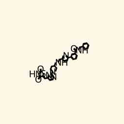 O=C1NC(=O)C(=Cc2ccnc(N3CCC(CNCc4ccc(-c5cccc(C(=O)NCc6ccccc6)c5)nc4)CC3)n2)S1